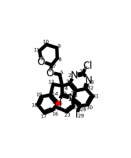 Clc1nc(C(COC2CCCCO2)(Cc2ccccc2)c2ncccn2)c2cc(I)ccc2n1